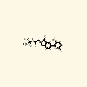 CC(C)(C)OC(=O)CN1Cc2ccc(-c3nc(Cl)ncc3Br)cc2C1=O